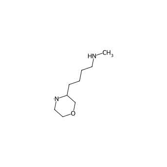 CNCCCCC1COCC[N]1